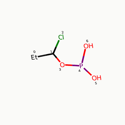 CCC(Cl)OP(O)O